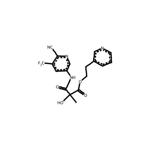 CC(O)(C(=O)Nc1cnc(C#N)c(C(F)(F)F)c1)C(=O)OCCc1cccnc1